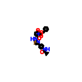 O=C(Nc1ccc(-c2csc(NC(=O)[C@@H]3CCC(=O)N3C(=O)OCc3ccccc3)n2)cc1)C1CC1